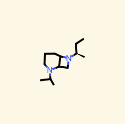 CC[C@@H](C)N1CC2C1CCCN2C(C)C